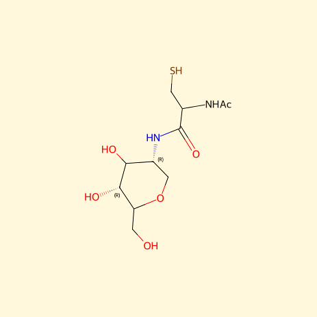 CC(=O)NC(CS)C(=O)N[C@@H]1COC(CO)[C@H](O)C1O